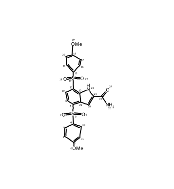 COc1ccc(S(=O)(=O)c2ccc(S(=O)(=O)c3ccc(OC)cc3)c3[nH]c(C(N)=O)cc23)cc1